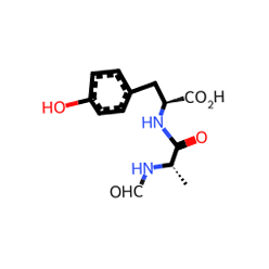 C[C@H](NC=O)C(=O)N[C@@H](Cc1ccc(O)cc1)C(=O)O